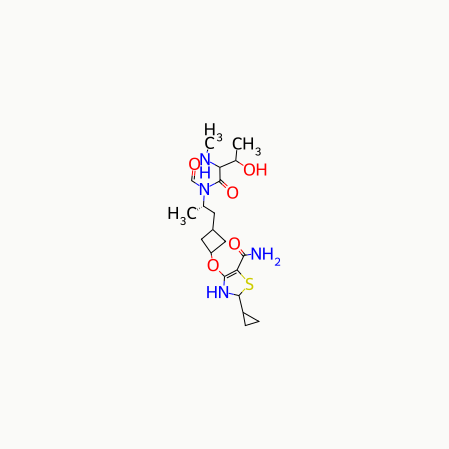 CNC(C(=O)N(C=O)[C@@H](C)CC1CC(OC2=C(C(N)=O)SC(C3CC3)N2)C1)C(C)O